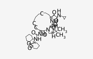 CC1(C)[C@@H]2[C@H]3C(=O)N[C@H](C(=O)C(=O)NC4CC4)CCCCCCCCC[C@H](NC(=O)NC4([C@@H]5CCCCS5(=O)=O)CCCCC4)C(=O)N3C[C@@H]21